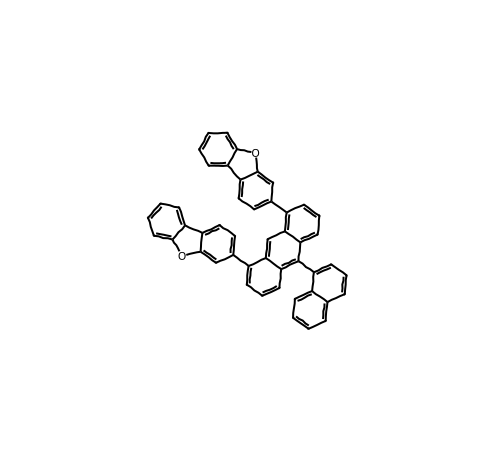 c1ccc2c(-c3c4cccc(-c5ccc6c(c5)oc5ccccc56)c4cc4c(-c5ccc6c(c5)oc5ccccc56)cccc34)cccc2c1